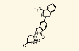 Nc1nc(-c2ccc3c(c2)CN([C@@H]2CCC(=O)NC2=O)C3=O)cc2ccccc12